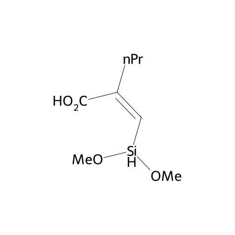 CCCC(=C[SiH](OC)OC)C(=O)O